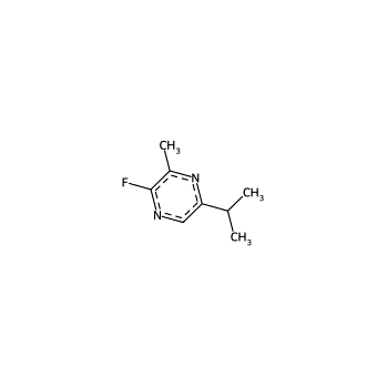 Cc1nc(C(C)C)cnc1F